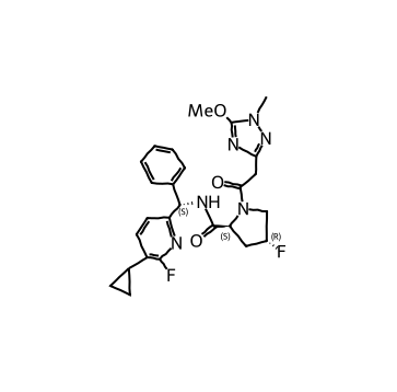 COc1nc(CC(=O)N2C[C@H](F)C[C@H]2C(=O)N[C@@H](c2ccccc2)c2ccc(C3CC3)c(F)n2)nn1C